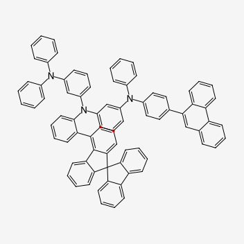 c1ccc(N(c2ccccc2)c2cccc(N(c3cccc(N(c4ccccc4)c4ccc(-c5cc6ccccc6c6ccccc56)cc4)c3)c3ccccc3-c3cccc4c3-c3ccccc3C43c4ccccc4-c4ccccc43)c2)cc1